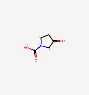 O=C1CCN(C(=O)O)C1